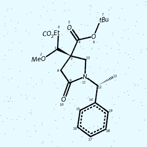 CCOC(=O)C(OC)[C@]1(C(=O)OC(C)(C)C)CC(=O)N([C@H](C)c2ccccc2)C1